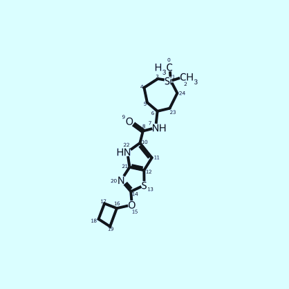 C[Si]1(C)CCCC(NC(=O)c2cc3sc(OC4CCC4)nc3[nH]2)CC1